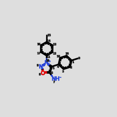 Cc1ccc(-c2c([NH-])on[n+]2-c2ccc(C)cc2)cc1